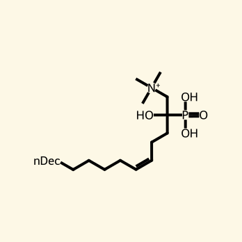 CCCCCCCCCCCCCC/C=C\CCC(O)(C[N+](C)(C)C)P(=O)(O)O